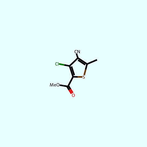 COC(=O)c1sc(C)c(C#N)c1Cl